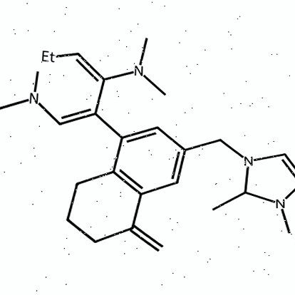 C=C1CCCc2c1cc(CN1C=CN(C)C1C)cc2C(=C/N(C)C)/C(=C\CC)N(C)C